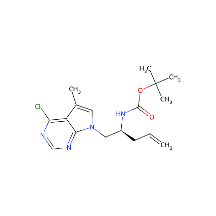 C=CC[C@@H](Cn1cc(C)c2c(Cl)ncnc21)NC(=O)OC(C)(C)C